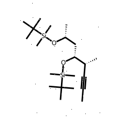 CC#C[C@@H](C)[C@@H](C[C@@H](C)O[Si](C)(C)C(C)(C)C)O[Si](C)(C)C(C)(C)C